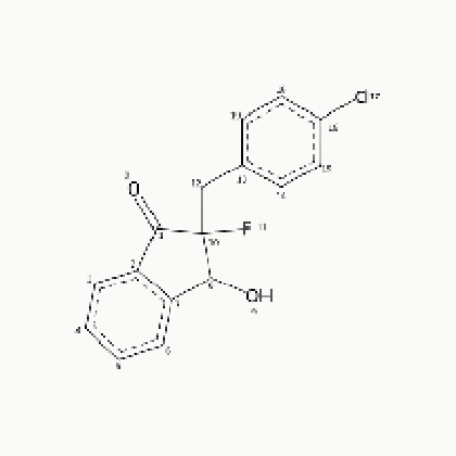 O=C1c2ccccc2C(O)C1(F)Cc1ccc(Cl)cc1